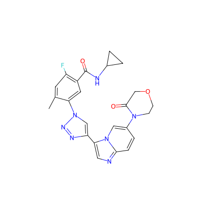 Cc1cc(F)c(C(=O)NC2CC2)cc1-n1cc(-c2cnc3ccc(N4CCOCC4=O)cn23)nn1